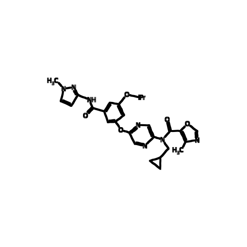 Cc1ncoc1C(=O)N(CC1CC1)c1cnc(Oc2cc(OC(C)C)cc(C(=O)Nc3ccn(C)n3)c2)cn1